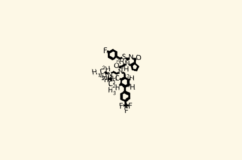 [2H]c1c([2H])c(-c2ccc(C(F)(F)F)cc2)c([2H])c(C)c1CN(CCN(C([2H])([2H])C)C([2H])([2H])C)C(=O)C([2H])([2H])n1c(SCc2ccc(F)cc2)nc(=O)c2c1CCC2